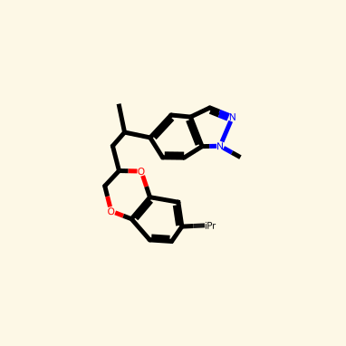 CC(C)c1ccc2c(c1)OC(CC(C)c1ccc3c(cnn3C)c1)CO2